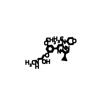 CNCC(O)COc1cc(OC)cc(-c2cc(N(C)C3CCOCC3)n3ncc(C4CC4)c3n2)c1